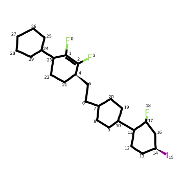 FC1=C(F)[C@@H](CCC2CCC(C3CC[C@H](I)CC3F)CC2)CCC1C1CCCCC1